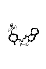 Cc1ccc(S(=O)(=O)F)cc1N=Nc1c(O)ccc2ccccc12